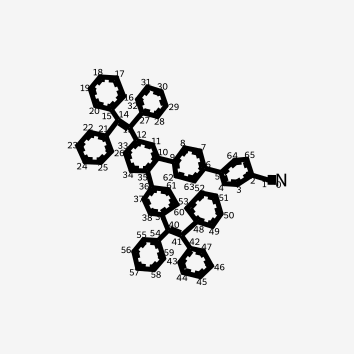 N#Cc1ccc(-c2ccc(-c3cc(C(=C(c4ccccc4)c4ccccc4)c4ccccc4)ccc3-c3ccc(C(=C(c4ccccc4)c4ccccc4)c4ccccc4)cc3)cc2)cc1